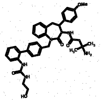 COc1ccc(C2Cc3ccccc3N(Cc3ccc(-c4ccccc4NC(=O)NCCO)cc3)C(=O)C2NC(=O)CC(C)(C)N)cc1